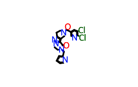 O=C(c1cnc(Cl)c(Cl)c1)N1CCc2nn3c(c2C1)C(=O)N(Cc1ccccn1)CC3